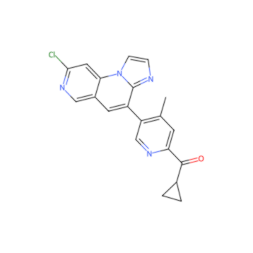 Cc1cc(C(=O)C2CC2)ncc1-c1cc2cnc(Cl)cc2n2ccnc12